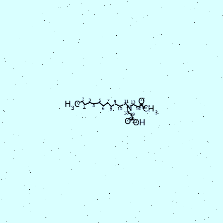 CCCCCCCCCCCCN(CCC(C)=O)CCC(=O)O